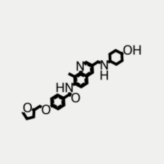 Cc1c(NC(=O)c2ccc(OCC3CCCO3)cc2)ccc2cc(CNC3CCC(O)CC3)cnc12